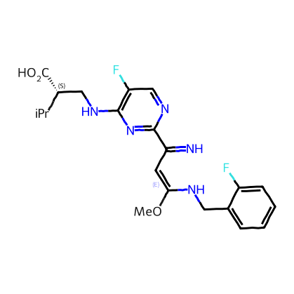 CO/C(=C/C(=N)c1ncc(F)c(NC[C@@H](C(=O)O)C(C)C)n1)NCc1ccccc1F